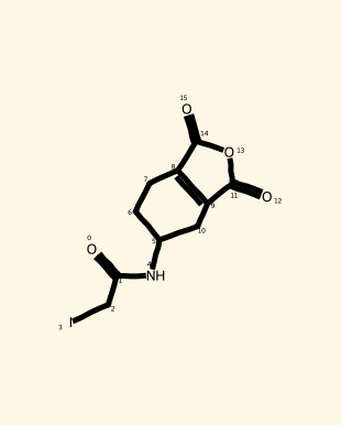 O=C(CI)NC1CCC2=C(C1)C(=O)OC2=O